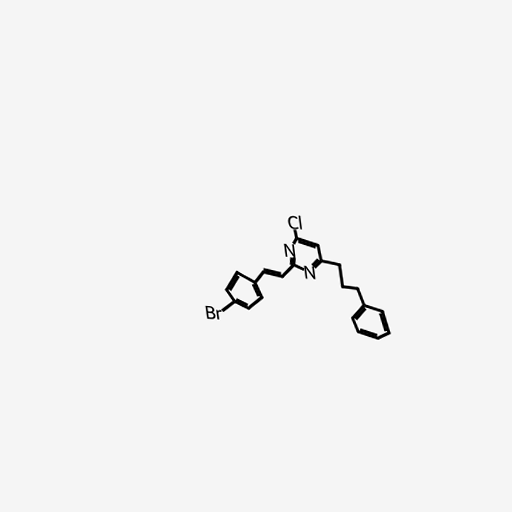 Clc1cc(CCCc2ccccc2)nc(C=Cc2ccc(Br)cc2)n1